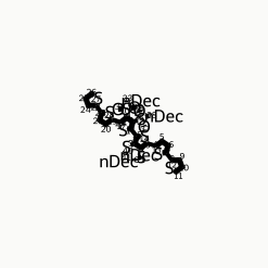 CCCCCCCCCCSc1c(-c2ccc(-c3cccs3)s2)sc(-c2sc(-c3ccc(-c4cccs4)s3)c(S(=O)(=O)CCCCCCCCCC)c2S(=O)(=O)CCCCCCCCCC)c1SCCCCCCCCCC